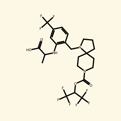 CC(Nc1cc(C(F)(F)F)ccc1CN1CCCC12CCN(C(=O)OC(C(F)(F)F)C(F)(F)F)CC2)C(=O)O